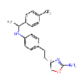 NC1=N[C@@H](CCc2ccc(NC(c3ccc(C(F)(F)F)cc3)C(F)(F)F)cc2)CO1